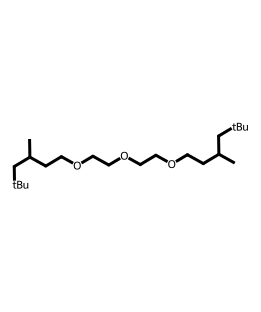 CC(CCOCCOCCOCCC(C)CC(C)(C)C)CC(C)(C)C